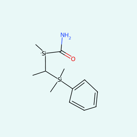 CC([Si](C)C(N)=O)[Si](C)(C)c1ccccc1